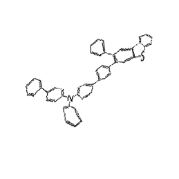 c1ccc(-c2ccc(N(c3ccccc3)c3ccc(-c4ccc(-c5cc6sc7ccccc7c6cc5-c5ccccc5)cc4)cc3)cc2)cc1